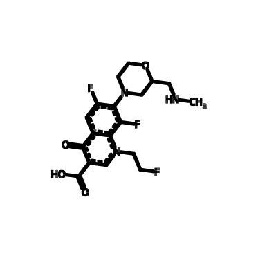 CNCC1CN(c2c(F)cc3c(=O)c(C(=O)O)cn(CCF)c3c2F)CCO1